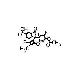 CC(=O)Oc1cc2c(cc1F)C1(OC(=O)c3cc(C(=O)O)ccc31)c1cc(F)c(C)cc1O2